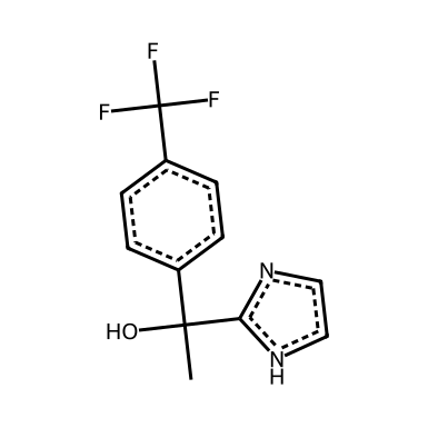 CC(O)(c1ccc(C(F)(F)F)cc1)c1ncc[nH]1